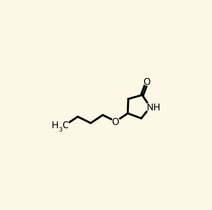 CCCCOC1CNC(=O)C1